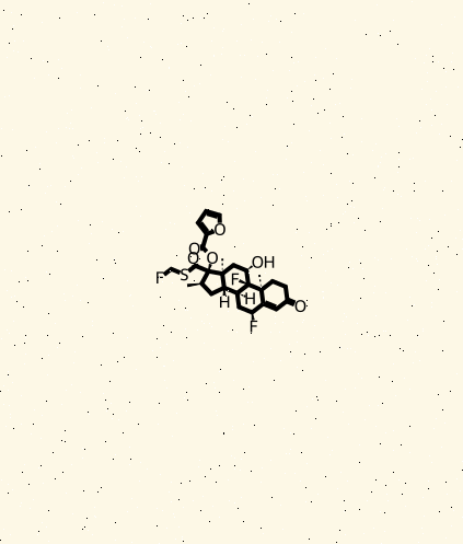 C[C@@H]1C[C@H]2[C@@H]3C[C@H](F)C4=CC(=O)CC[C@]4(C)[C@@]3(F)[C@@H](O)C[C@]2(C)[C@@]1(OC(=O)c1ccco1)C(=O)SCF